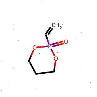 C=CP1(=O)OCCCO1